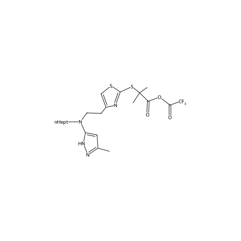 CCCCCCCN(CCc1csc(SC(C)(C)C(=O)OC(=O)C(F)(F)F)n1)c1cc(C)n[nH]1